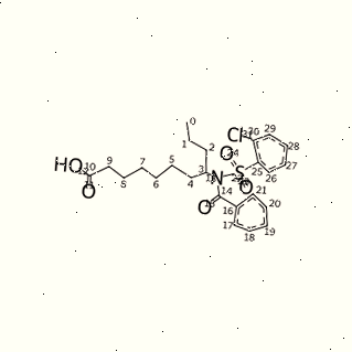 CCCC(CCCCCCC(=O)O)N(C(=O)c1ccccc1)S(=O)(=O)c1ccccc1Cl